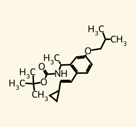 CC(C)COc1ccc(/C=C/C2CC2)c([C@H](C)NC(=O)OC(C)(C)C)c1